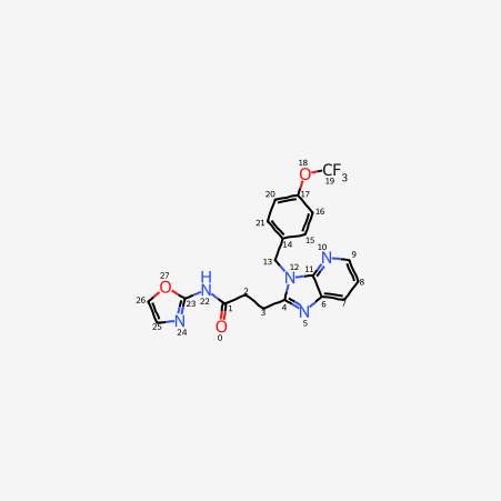 O=C(CCc1nc2cccnc2n1Cc1ccc(OC(F)(F)F)cc1)Nc1ncco1